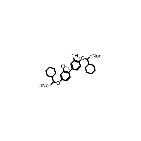 CCCCCCCCCC(Oc1ccc(-c2ccc(OC(CCCCCCCCC)C3CCCCC3)c(C)c2)c(C)c1)C1CCCCC1